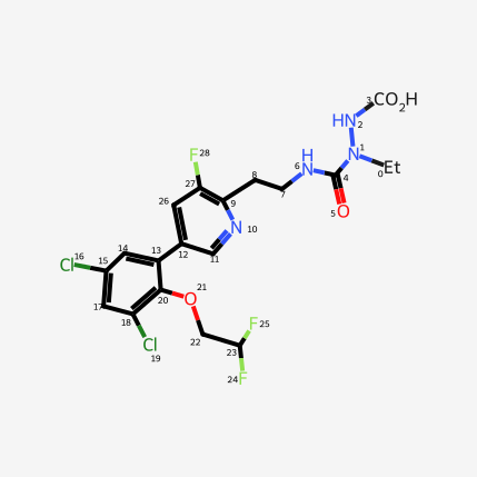 CCN(NC(=O)O)C(=O)NCCc1ncc(-c2cc(Cl)cc(Cl)c2OCC(F)F)cc1F